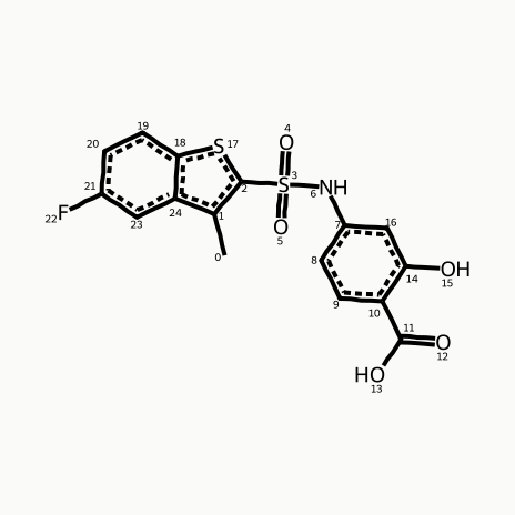 Cc1c(S(=O)(=O)Nc2ccc(C(=O)O)c(O)c2)sc2ccc(F)cc12